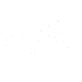 c1ccc(-c2nc(-n3c4cccc5c6cccc7c8ccccc8n(c8cc9c(c%10ccccc%10n9-c9ccccc9)c3c8c54)c67)nc3ccc4ccccc4c23)cc1